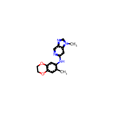 Cc1cc2c(cc1Nc1cc3c(cn1)ncn3C)OCCO2